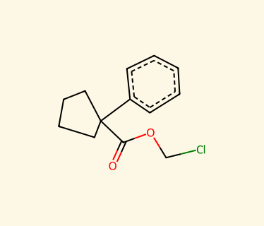 O=C(OCCl)C1(c2ccccc2)CCCC1